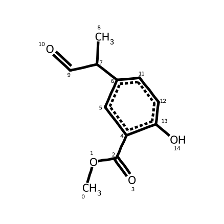 COC(=O)c1cc(C(C)C=O)ccc1O